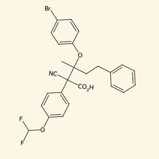 CC(CCc1ccccc1)(Oc1ccc(Br)cc1)C(C#N)(C(=O)O)c1ccc(OC(F)F)cc1